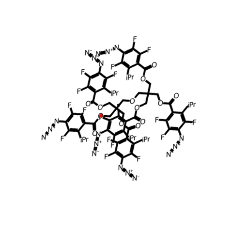 CC(C)c1c(F)c(N=[N+]=[N-])c(F)c(F)c1C(=O)OCC(COCC(COC(=O)c1c(F)c(F)c(N=[N+]=[N-])c(F)c1C(C)C)(COC(=O)c1c(F)c(F)c(N=[N+]=[N-])c(F)c1C(C)C)COC(=O)c1c(F)c(F)c(N=[N+]=[N-])c(F)c1C(C)C)(COC(=O)c1c(F)c(F)c(N=[N+]=[N-])c(F)c1C(C)C)COC(=O)c1c(F)c(F)c(N=[N+]=[N-])c(F)c1C(C)C